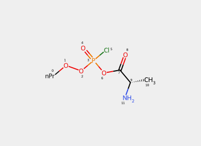 CCCOOP(=O)(Cl)OC(=O)[C@H](C)N